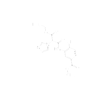 CCOC(=O)C(C(=O)Nc1cc(C(=O)OC)ccc1Cl)n1ccnc1